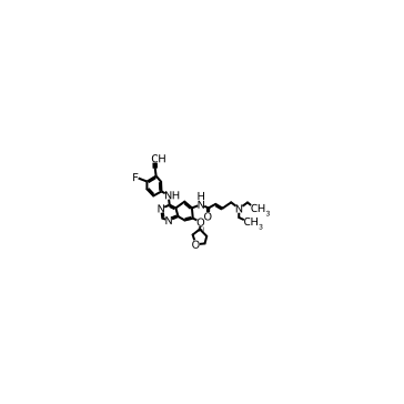 C#Cc1cc(Nc2ncnc3cc(O[C@H]4CCOC4)c(NC(=O)C=CCN(CC)CC)cc23)ccc1F